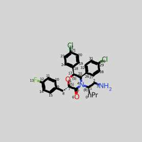 CCC[C@H](CN)N1C(=O)[C@H](Cc2ccc(F)cc2)O[C@@H](c2ccc(Cl)cc2)[C@H]1c1ccc(Cl)cc1